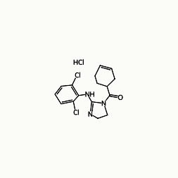 Cl.O=C(C1CC=CCC1)N1CCN=C1Nc1c(Cl)cccc1Cl